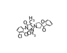 Cc1c(N2CCC3(CC2)Oc2ccccc2C3=O)nc(C)n(-c2cccc(Cl)c2Cl)c1=O